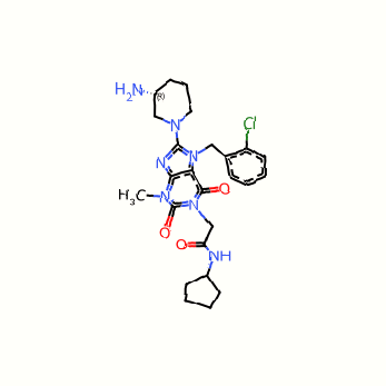 Cn1c(=O)n(CC(=O)NC2CCCC2)c(=O)c2c1nc(N1CCC[C@@H](N)C1)n2Cc1ccccc1Cl